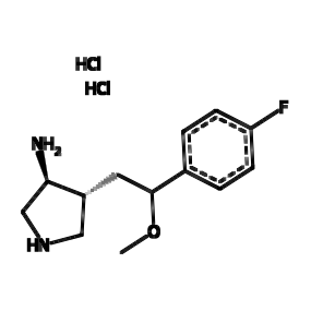 COC(C[C@@H]1CNC[C@H]1N)c1ccc(F)cc1.Cl.Cl